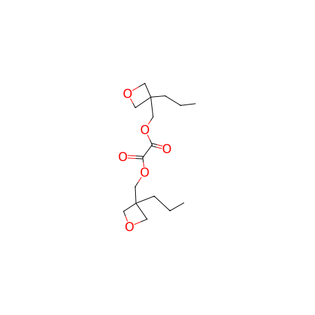 CCCC1(COC(=O)C(=O)OCC2(CCC)COC2)COC1